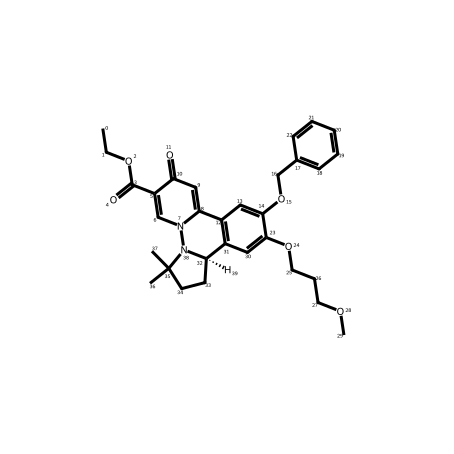 CCOC(=O)c1cn2c(cc1=O)-c1cc(OCc3ccccc3)c(OCCCOC)cc1[C@H]1CCC(C)(C)N12